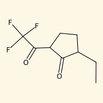 CCC1CCC(C(=O)C(F)(F)F)C1=O